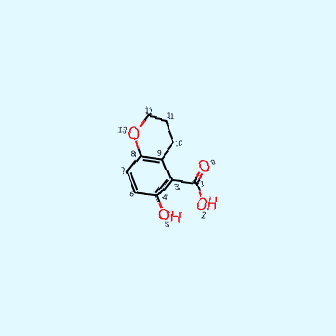 O=C(O)c1c(O)ccc2c1CCCO2